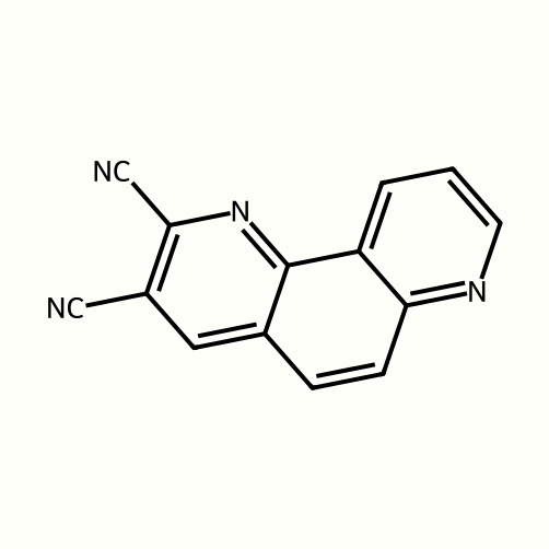 N#Cc1cc2ccc3ncccc3c2nc1C#N